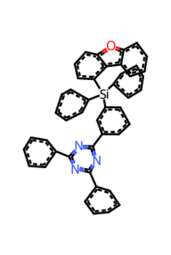 c1ccc(-c2nc(-c3ccccc3)nc(-c3cccc([Si](c4ccccc4)(c4ccccc4)c4cccc5oc6ccccc6c45)c3)n2)cc1